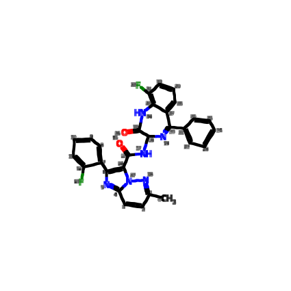 Cc1ccc2nc(-c3ccccc3F)c(C(=O)NC3N=C(c4ccccc4)c4cccc(F)c4NC3=O)n2n1